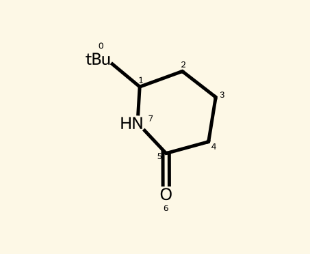 CC(C)(C)C1CCCC(=O)N1